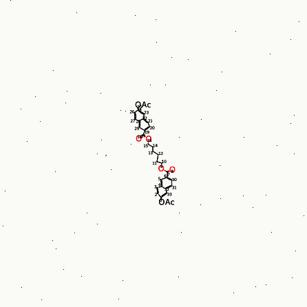 CC(=O)Oc1ccc2cc(C(=O)OCCCCCCOC(=O)c3ccc4cc(OC(C)=O)ccc4c3)ccc2c1